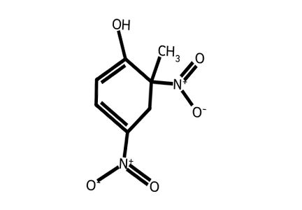 CC1([N+](=O)[O-])CC([N+](=O)[O-])=CC=C1O